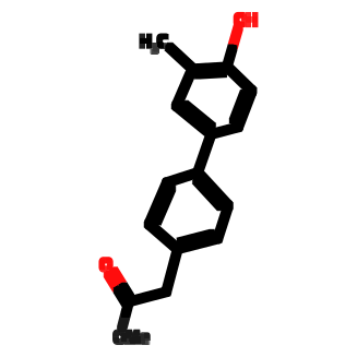 COC(=O)Cc1ccc(-c2ccc(O)c(C)c2)cc1